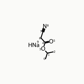 CC(C)OC(=O)CC#N.[NaH]